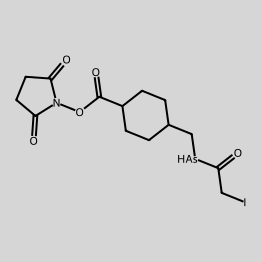 O=C(CI)[AsH]CC1CCC(C(=O)ON2C(=O)CCC2=O)CC1